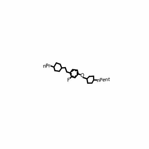 CCCCCC1CCC(COc2ccc(CCC3CCC(CCC)CC3)c(F)c2)CC1